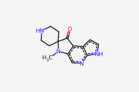 CN1c2cnc3[nH]ccc3c2C(=O)C12CCNCC2